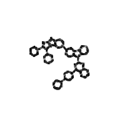 c1ccc(-c2ccc(-c3nc(-n4c5ccccc5c5cc(-c6ccc7sc8nc(-c9ccccc9)c(-c9ccccc9)n8c7c6)ccc54)nc4ccccc34)cc2)cc1